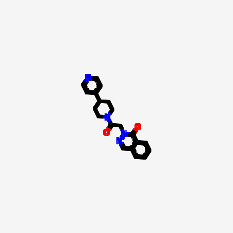 O=C(Cn1ncc2ccccc2c1=O)N1CCC(c2ccncc2)CC1